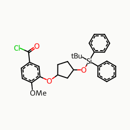 COc1ccc(C(=O)Cl)cc1OC1CCC(O[Si](c2ccccc2)(c2ccccc2)C(C)(C)C)C1